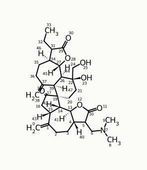 C=C1CC[C@H]2C(CN(C)C)C(=O)O[C@@H]2[C@@H]2[C@H]1CC(=O)[C@]21CC[C@@](O)(CO)[C@@H]2[C@H]3OC(=O)C(CC)[C@@H]3CCC(=C)[C@@H]21